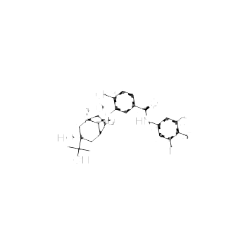 C[C@H]1C[C@H]2C[C@](O)(C(C)(C)O)CC1C2S(=O)(=O)c1cc(C(=O)Nc2cc(F)c(F)c(F)c2)ccc1Cl